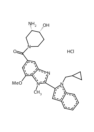 COc1cc(C(=O)N2CC[C@@H](O)[C@@H](N)C2)cc2nc(-c3cc4ccccc4n3CC3CC3)n(C)c12.Cl